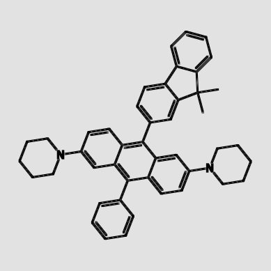 CC1(C)c2ccccc2-c2ccc(-c3c4ccc(N5CCCCC5)cc4c(-c4ccccc4)c4ccc(N5CCCCC5)cc34)cc21